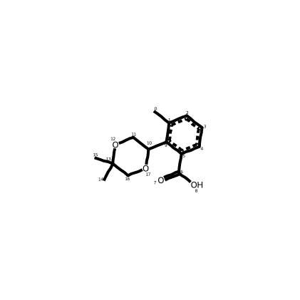 Cc1cccc(C(=O)O)c1C1COC(C)(C)CO1